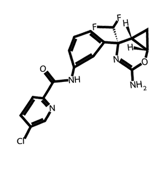 NC1=N[C@](c2cccc(NC(=O)c3ccc(Cl)cn3)c2)(C(F)F)[C@@H]2C[C@@H]2O1